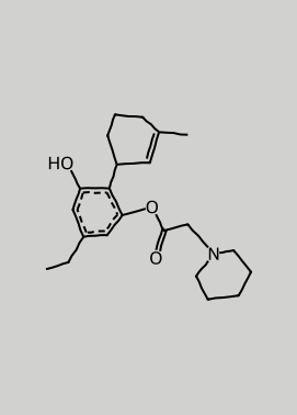 CCc1cc(O)c(C2C=C(C)CCC2)c(OC(=O)CN2CCCCC2)c1